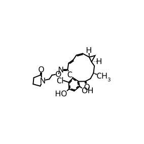 C[C@H]1CC(=O)c2c(O)cc(O)c(Cl)c2CC(=N\OCCN2CCCC2=O)/C=C/C=C\[C@@H]2C[C@H]2C1